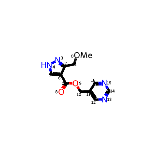 COCc1n[nH]cc1C(=O)OCc1cncnc1